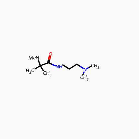 CNC(C)(C)C(=O)NCCCN(C)C